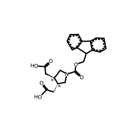 O=C(O)C[C@H]1CN(C(=O)OCC2c3ccccc3-c3ccccc32)C[C@@H]1CC(=O)O